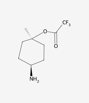 C[C@]1(OC(=O)C(F)(F)F)CC[C@@H](N)CC1